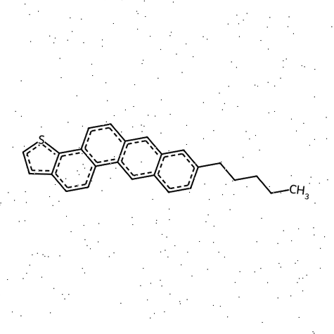 CCCCCc1ccc2cc3c(ccc4c3ccc3ccsc34)cc2c1